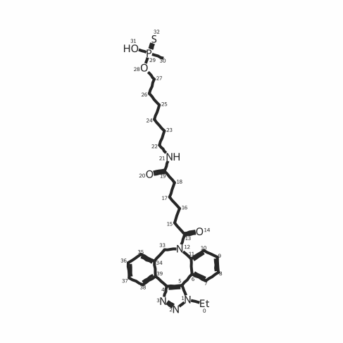 CCn1nnc2c1-c1ccccc1N(C(=O)CCCCC(=O)NCCCCCCOP(C)(O)=S)Cc1ccccc1-2